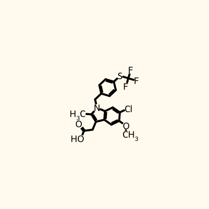 COc1cc2c(CC(=O)O)c(C)n(Cc3ccc(SC(F)(F)F)cc3)c2cc1Cl